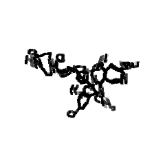 CCOc1cc(C(C)(C)C)ncc1C1=N[C@@](C)(c2ccc(Cl)cc2)[C@@](C)(c2ccc(Cl)cc2)N1C(=O)N1CCN(CC(=O)N2CCNC(=O)CC2)CC1